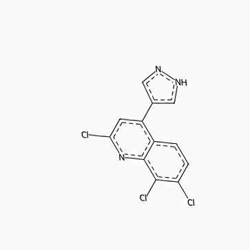 Clc1cc(-c2cn[nH]c2)c2ccc(Cl)c(Cl)c2n1